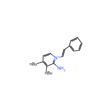 CCCCc1cc[n+](C=Cc2ccccc2)c(N)c1CCCC